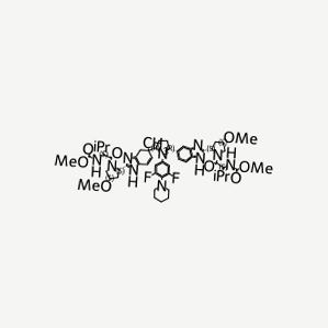 COC(=O)N[C@H](C(=O)N1C[C@@H](OC)C[C@H]1c1nc2c([nH]1)C=CC(C)([C@H]1CC[C@H](c3ccc4[nH]c([C@@H]5C[C@H](OC)CN5C(=O)[C@@H](NC(=O)OC)C(C)C)nc4c3)N1c1cc(F)c(N3CCCCC3)c(F)c1)C2)C(C)C